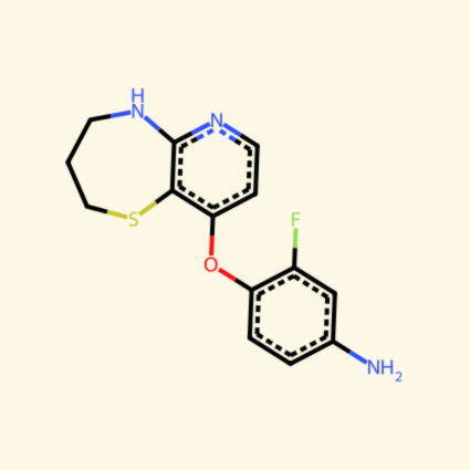 Nc1ccc(Oc2ccnc3c2SCCCN3)c(F)c1